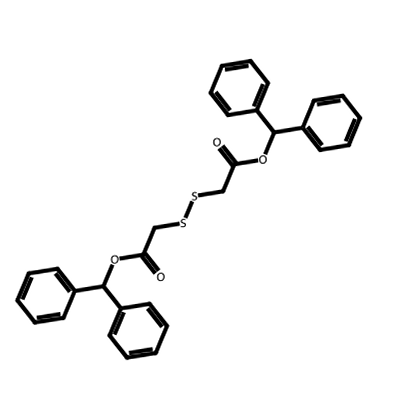 O=C(CSSCC(=O)OC(c1ccccc1)c1ccccc1)OC(c1ccccc1)c1ccccc1